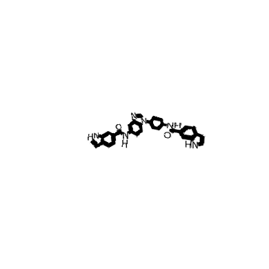 O=C(Nc1ccc(-n2cnc3cc(NC(=O)c4ccc5cc[nH]c5c4)ccc32)cc1)c1ccc2cc[nH]c2c1